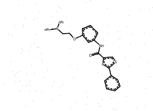 CCCN(CCC)CCOc1cccc(NC(=O)c2csc(-c3ccccc3)n2)c1